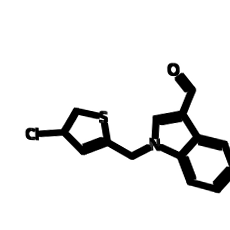 O=Cc1cn(CC2=CC(Cl)CS2)c2ccccc12